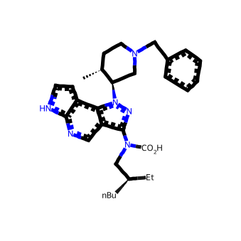 CCCC[C@H](CC)CN(C(=O)O)c1nn([C@@H]2CN(Cc3ccccc3)CC[C@H]2C)c2c1cnc1[nH]ccc12